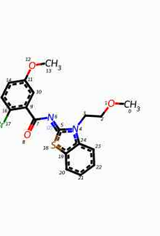 COCCn1/c(=N/C(=O)c2cc(OC)ccc2Br)sc2ccccc21